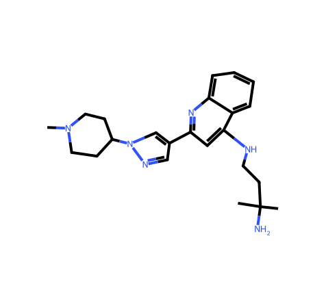 CN1CCC(n2cc(-c3cc(NCCC(C)(C)N)c4ccccc4n3)cn2)CC1